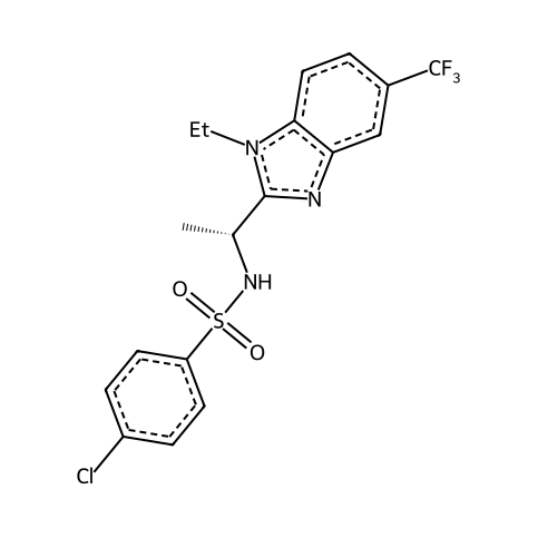 CCn1c([C@@H](C)NS(=O)(=O)c2ccc(Cl)cc2)nc2cc(C(F)(F)F)ccc21